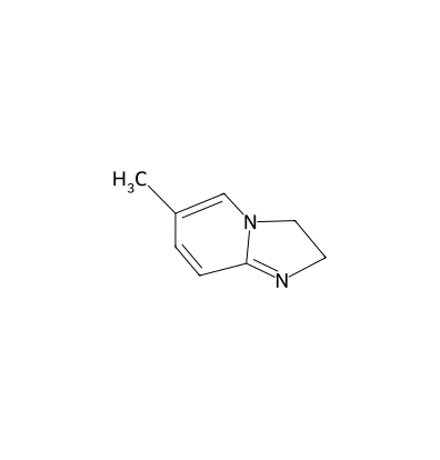 CC1=CN2CCN=C2C=C1